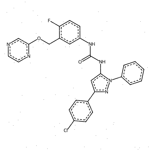 O=C(Nc1ccc(F)c(COc2cnccn2)c1)Nc1cc(-c2ccc(Cl)cc2)nn1-c1ccccc1